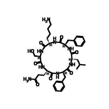 CC(C)C[C@@H]1NC(=O)[C@@H](Cc2ccccc2)NC(=O)[C@H](CCC(N)=O)NC(=O)[C@@H](CO)NC(=O)[C@H](CCCCN)NC(=O)[C@@H](Cc2ccccc2)NC1=O